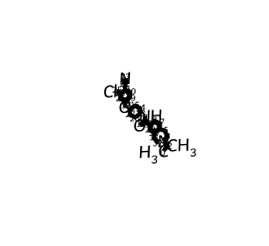 CC(C)N1CCc2ccc(C(=O)N[C@H]3CC[C@H](Oc4ccc(C#N)c(Cl)c4)CC3)cc2CC1